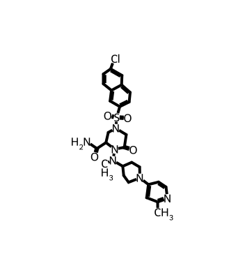 Cc1cc(N2CCC(N(C)N3C(=O)CN(S(=O)(=O)c4ccc5cc(Cl)ccc5c4)CC3C(N)=O)CC2)ccn1